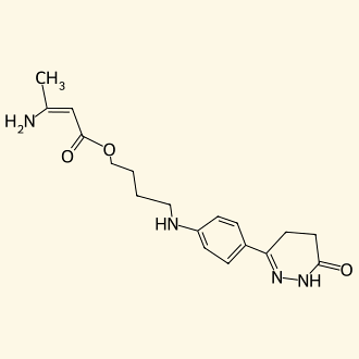 CC(N)=CC(=O)OCCCCNc1ccc(C2=NNC(=O)CC2)cc1